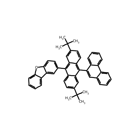 CC(C)(C)c1ccc2c(-c3cc4ccccc4c4ccccc34)c3cc(C(C)(C)C)ccc3c(-c3ccc4oc5ccccc5c4c3)c2c1